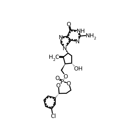 C=C1[C@H](CO[P@]2(=O)OCC[C@H](c3cccc(Cl)c3)O2)[C@@H](O)C[C@@H]1n1cnc2c(=O)[nH]c(N)nc21